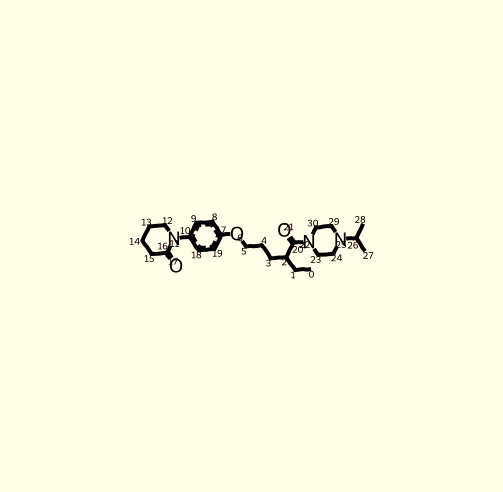 CCC(CCCOc1ccc(N2CCCCC2=O)cc1)C(=O)N1CCN(C(C)C)CC1